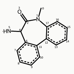 CN1C(=O)C([NH])c2ccccc2-c2ccccc21